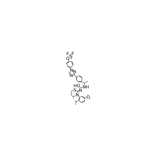 COc1ccc(C(C)C)c(N2/C(=N/C(O)NC(C)c3ccc(-c4ncn(-c5ccc(OC(F)(F)F)cc5)n4)cc3)SCCC2C)c1